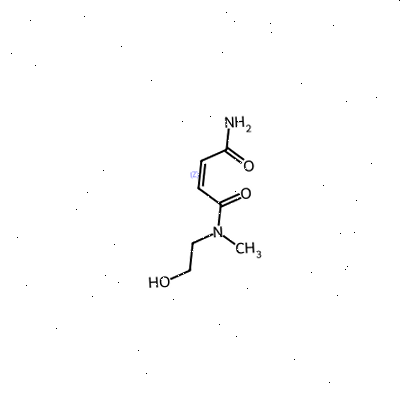 CN(CCO)C(=O)/C=C\C(N)=O